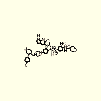 C[C@H]1COc2nc3[nH]ccc3cc2N1c1cc(N2CCN(CC3=C(c4ccc(Cl)cc4)CC(C)(C)CC3)CC2)ccc1C(=O)NS(=O)(=O)c1ccc(NCC2(F)CCOCC2)c([N+](=O)[O-])c1